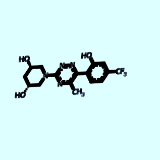 Cc1nc(N2C[C@H](O)C[C@@H](O)C2)nnc1-c1ccc(C(F)(F)F)cc1O